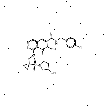 CN1c2c(cnnc2OCC2(S(=O)(=O)N3CC[C@@H](O)C3)CC2)C=C(C(=O)NCc2ccc(Cl)cc2)C1O